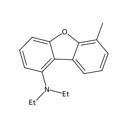 CCN(CC)c1cccc2oc3c(C)cccc3c12